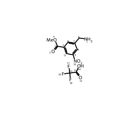 COC(=O)c1cc(CN)cc([N+](=O)[O-])c1.O=C(O)C(F)(F)F